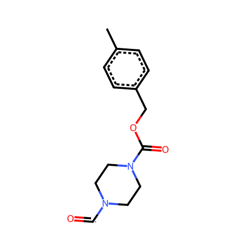 Cc1ccc(COC(=O)N2CCN([C]=O)CC2)cc1